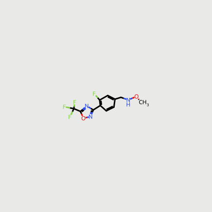 CONCc1ccc(-c2noc(C(F)(F)F)n2)c(F)c1